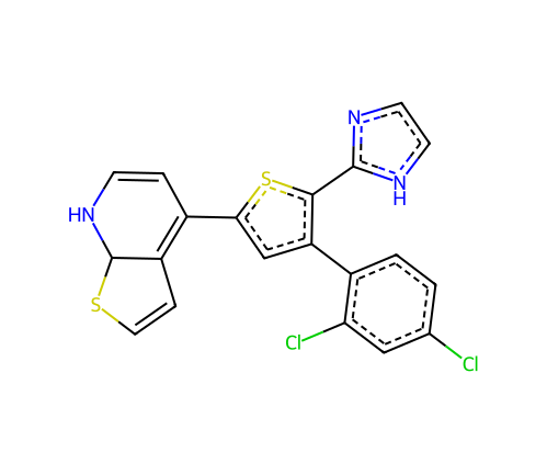 Clc1ccc(-c2cc(C3=C4C=CSC4NC=C3)sc2-c2ncc[nH]2)c(Cl)c1